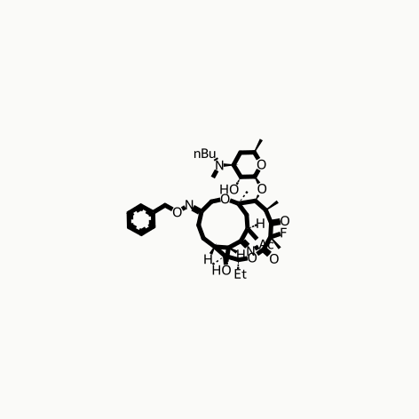 CCCCN(C)[C@H]1C[C@@H](C)O[C@@H](O[C@@H]2[C@@H](C)C(=O)[C@](C)(F)C(=O)O[C@H](CC)[C@@](C)(O)[C@@H]3CC/C(=N\OCc4ccccc4)CO[C@]2(C)C[C@@H](C)/C(=N\C(C)=O)[C@@H]3C)[C@@H]1O